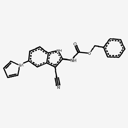 N#Cc1c(NC(=O)OCc2ccccc2)[nH]c2ccc([SH]3C=CC=C3)cc12